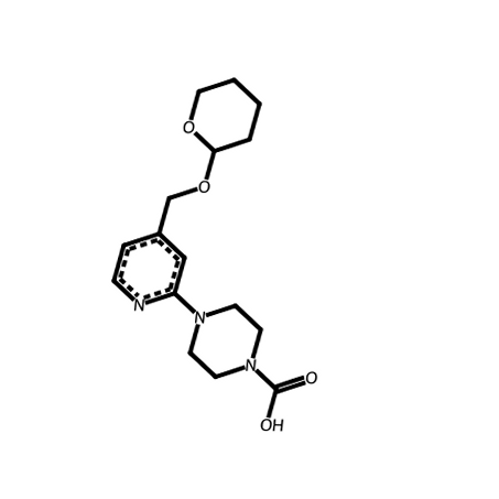 O=C(O)N1CCN(c2cc(COC3CCCCO3)ccn2)CC1